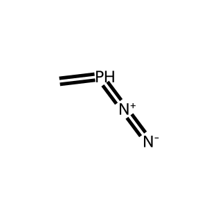 C=[PH]=[N+]=[N-]